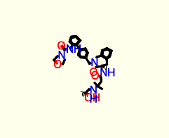 C[C@@H](O)CNC(C)(C)CC(=O)N[C@@H]1Cc2ccccc2CN(Cc2ccc(-c3ccccc3NC(=O)N3CCOCC3)cc2)C1=O